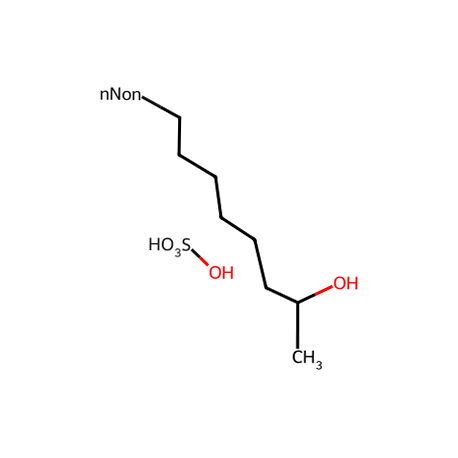 CCCCCCCCCCCCCCCC(C)O.O=S(=O)(O)O